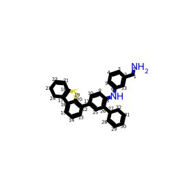 NCc1cccc(Nc2ccc(-c3cccc4c5c(sc34)C=CCC5)cc2C2C=CC=CC2)c1